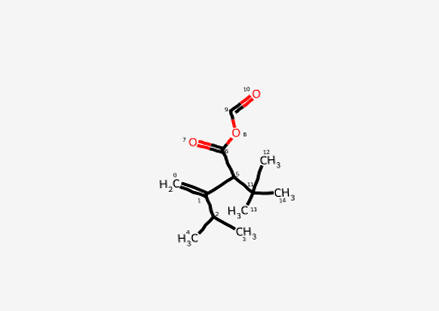 C=C(C(C)C)C(C(=O)OC=O)C(C)(C)C